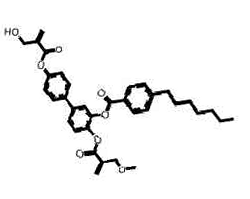 C=C(CO)C(=O)Oc1ccc(-c2ccc(OC(=O)C(=C)COC)c(OC(=O)c3ccc(CCCCCCC)cc3)c2)cc1